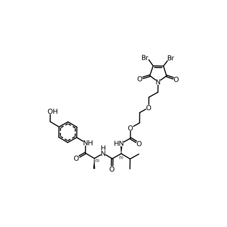 CC(C)[C@H](NC(=O)OCCOCCN1C(=O)C(Br)=C(Br)C1=O)C(=O)N[C@@H](C)C(=O)Nc1ccc(CO)cc1